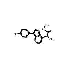 CC(C(=O)OC(C)(C)C)c1ccnc2c(-c3ccc(Cl)cc3)cnn12